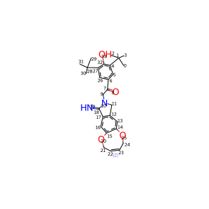 CC(C)(C)c1cc(C(=O)CN2Cc3cc4c(cc3C2=N)OC/C=C\CO4)cc(C(C)(C)C)c1O